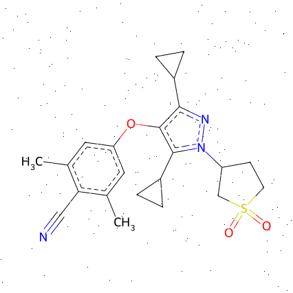 Cc1cc(Oc2c(C3CC3)nn(C3CCS(=O)(=O)C3)c2C2CC2)cc(C)c1C#N